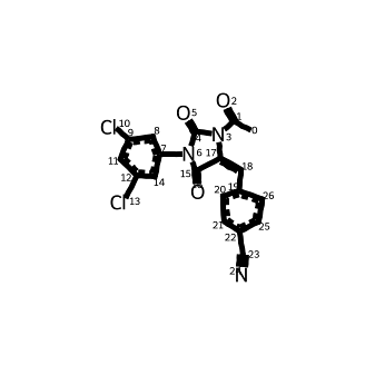 CC(=O)N1C(=O)N(c2cc(Cl)cc(Cl)c2)C(=O)C1=Cc1ccc(C#N)cc1